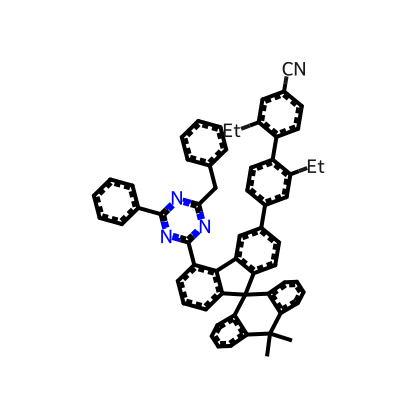 CCc1cc(C#N)ccc1-c1ccc(-c2ccc3c(c2)-c2c(-c4nc(Cc5ccccc5)nc(-c5ccccc5)n4)cccc2C32c3ccccc3C(C)(C)c3ccccc32)cc1CC